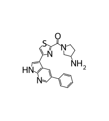 NC1CCN(C(=O)c2nc(-c3c[nH]c4ncc(-c5ccccc5)cc34)cs2)C1